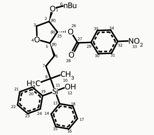 CCCCO[C@@H]1CO[C@H](CCC(C)(C)[Si](O)(c2ccccc2)c2ccccc2)[C@H]1OC(=O)c1ccc([N+](=O)[O-])cc1